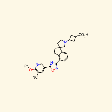 CC(C)Oc1ncc(-c2nc(-c3cccc4c3CCC43CCN(C4CC(C(=O)O)C4)C3)no2)cc1C#N